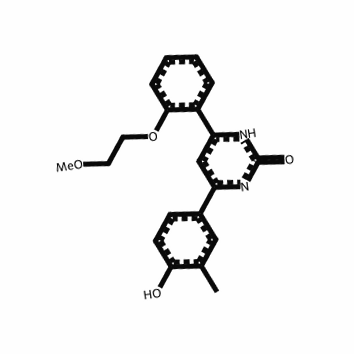 COCCOc1ccccc1-c1cc(-c2ccc(O)c(C)c2)nc(=O)[nH]1